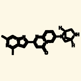 Cc1cn2nc(-c3cc(=O)n4cc(N5C[C@@H]6C[C@H]5CN6)ccc4n3)cc2c(C)n1